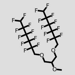 COC(COCC(F)(F)C(F)(F)C(F)(F)C(F)(F)C(F)F)COCC(F)(F)C(F)(F)C(F)(F)C(F)(F)C(F)F